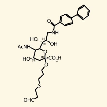 CC(=O)NC1C([C@H](O)[C@H](O)CNC(=O)c2ccc(-c3ccccc3)cc2)O[C@@](OCCCSCCC=O)(C(=O)O)C[C@@H]1O